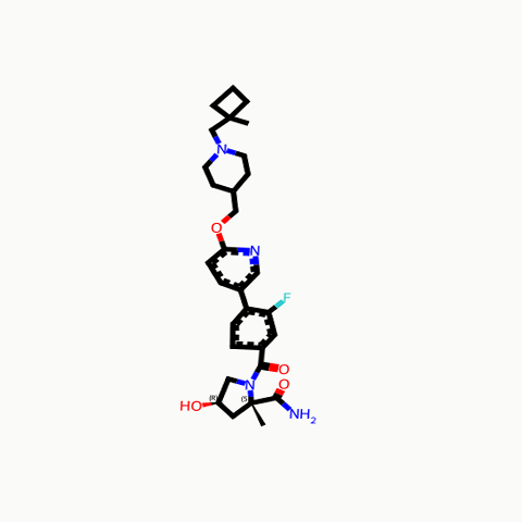 CC1(CN2CCC(COc3ccc(-c4ccc(C(=O)N5C[C@H](O)C[C@@]5(C)C(N)=O)cc4F)cn3)CC2)CCC1